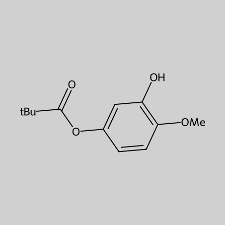 COc1ccc(OC(=O)C(C)(C)C)cc1O